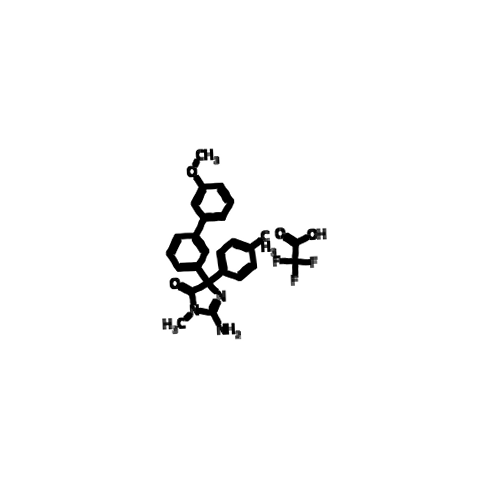 COc1cccc(-c2cccc(C3(c4ccc(C)cc4)N=C(N)N(C)C3=O)c2)c1.O=C(O)C(F)(F)F